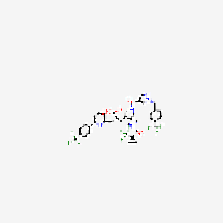 O=C(O)C(Cc1cccc(-c2ccc(C(F)(F)F)cc2)n1)CC1CN(C(=O)c2cnn(Cc3ccc(C(F)(F)F)cc3)c2)CC12CN(C(=O)C1(C(F)(F)F)CC1)C2